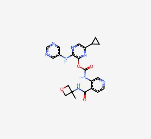 CC1(NC(=O)c2ccncc2NC(=O)Oc2nc(C3CC3)cnc2Nc2cncnc2)COC1